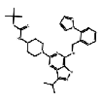 CC(C)c1n[nH]c2c(NCc3ccccc3-n3cccn3)nc(N3CCC(NC(=O)OC(C)(C)C)CC3)nc12